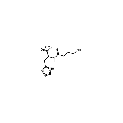 COC(=O)C(Cc1cnc[nH]1)NC(=O)CCCN